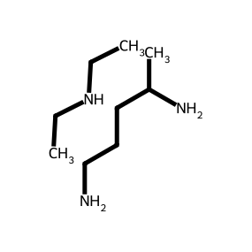 CC(N)CCCN.CCNCC